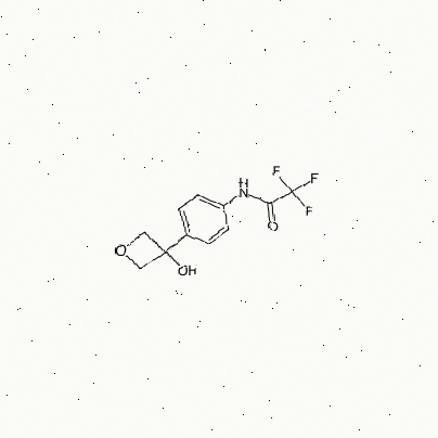 O=C(Nc1ccc(C2(O)COC2)cc1)C(F)(F)F